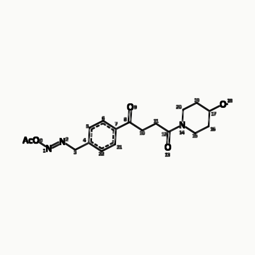 CC(=O)ON=NCc1ccc(C(=O)CCC(=O)N2CCC([O])CC2)cc1